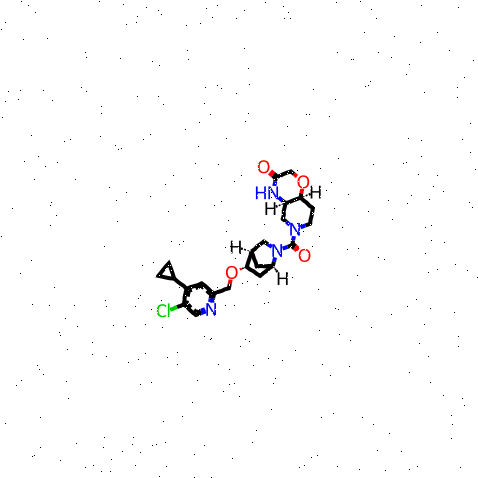 O=C1CO[C@H]2CCN(C(=O)N3C[C@H]4C[C@@H]3C[C@@H]4OCc3cc(C4CC4)c(Cl)cn3)C[C@H]2N1